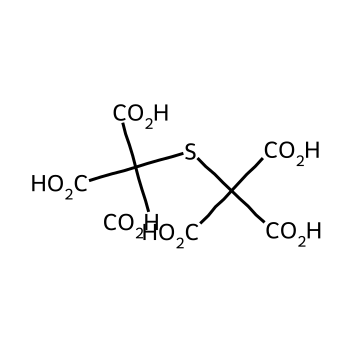 O=C(O)C(SC(C(=O)O)(C(=O)O)C(=O)O)(C(=O)O)C(=O)O